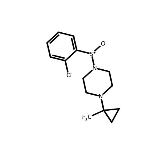 [O-][S+](c1ccccc1Cl)N1CCN(C2(C(F)(F)F)CC2)CC1